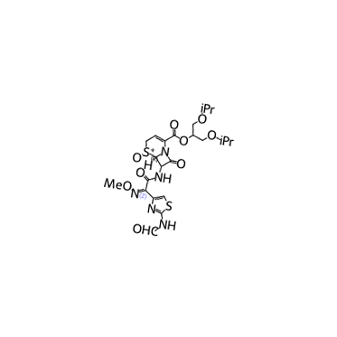 CO/N=C(\C(=O)NC1C(=O)N2C(C(=O)OC(COC(C)C)COC(C)C)=CC[S+]([O-])[C@H]12)c1csc(NC=O)n1